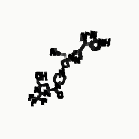 N#CC[C@]1(n2cc(-c3ncnc4[nH]ccc34)cn2)C[C@@H](N2CCN(C(=O)c3cc(CO)nc(C(F)(F)F)n3)CC2)C1